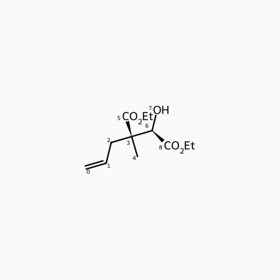 C=CC[C@](C)(C(=O)OCC)[C@@H](O)C(=O)OCC